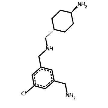 NCc1cc(Cl)cc(CNC[C@H]2CC[C@H](N)CC2)c1